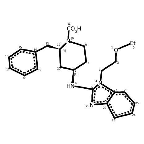 CCOCCn1c(N[C@@H]2CCN(C(=O)O)[C@H](Cc3ccccc3)C2)nc2ccccc21